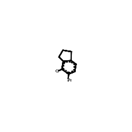 CC(C)c1ccc2c(c1Cl)CCC2